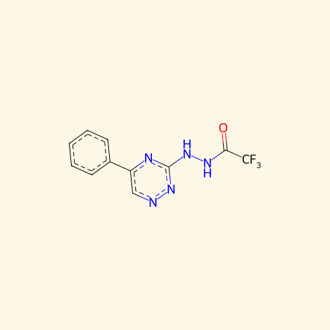 O=C(NNc1nncc(-c2ccccc2)n1)C(F)(F)F